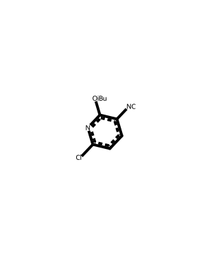 [C-]#[N+]c1ccc(Cl)nc1OCC(C)C